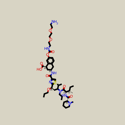 CCCO[C@H](CC(C(C)C)N(CCC)C(=O)[C@@H](NC(=O)[C@H]1CCCCN1C)[C@@H](C)CC)c1nc(C(=O)N[C@H]2Cc3ccc(OC(=O)NCCOCCOCCN)cc3[C@H](C(=O)O)C2)cs1